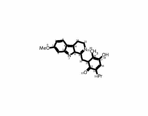 COc1ccc2c(c1)=NC1C(CC3C(=O)C(C(C)C)=CC(O)=C3C)=NCCC=21